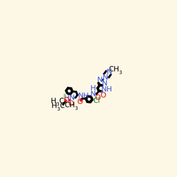 CN1CCN(c2ncc3cc(C(=O)Nc4cc(C(=O)NC(CNC(=O)OC(C)(C)C)Cc5cccc(F)c5)ccc4Cl)c(=O)[nH]c3n2)CC1